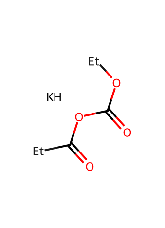 CCOC(=O)OC(=O)CC.[KH]